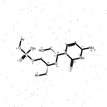 CC(C)C[C@H](COP(=O)(O)OC(C)C)O[C@H](CO)N1C=CC(N)NC1=O